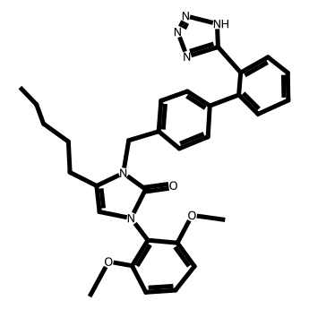 CCCCCc1cn(-c2c(OC)cccc2OC)c(=O)n1Cc1ccc(-c2ccccc2-c2nnn[nH]2)cc1